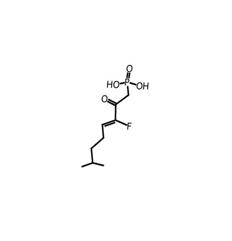 CC(C)CCC=C(F)C(=O)CP(=O)(O)O